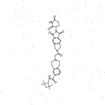 CC1(C)CC(C)(C)C1NC(=O)c1ccc2c(c1)CCN(CC(=O)N1Cc3cc4c(cc3C1)C(=O)N(C1CCC(=O)NC1=O)C4=O)CC2